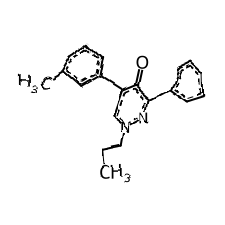 CCCn1cc(-c2cccc(C)c2)c(=O)c(-c2ccccc2)n1